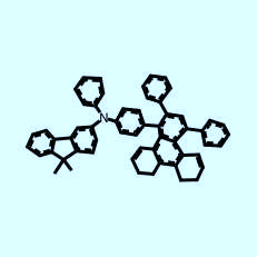 CC1(C)c2ccccc2-c2cc(N(c3ccccc3)c3ccc(-c4c(-c5ccccc5)cc(-c5ccccc5)c5c6c(c7c(c45)C=CCC7)CCC=C6)cc3)ccc21